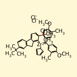 COc1ccc([C](c2ccc(OC)c(C)c2)=[Zr+2]([c]2c(C(C)(C)C)ccc3c2Cc2cc(C(C)(C)C)ccc2-3)[CH]2C=CC=C2)cc1C.[Cl-].[Cl-]